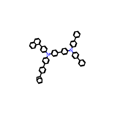 C1=CC2CC1CC2c1ccc(-c2ccc(N(c3ccc(-c4ccc(N(c5ccc(-c6ccccc6)cc5)c5ccc(-c6ccccc6)cc5)cc4)cc3)c3ccc(-c4cccc5ccccc45)cc3)cc2)cc1